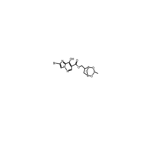 CB1OB2CC(COC(=O)c3cnn4cc(Br)nc4c3O)B(O1)O2